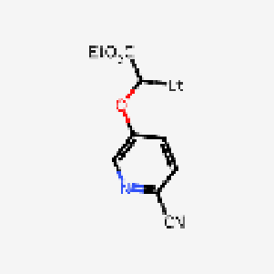 CCOC(=O)C(CC)Oc1ccc(C#N)nc1